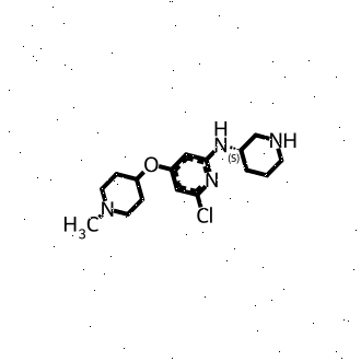 CN1CCC(Oc2cc(Cl)nc(N[C@H]3CCCNC3)c2)CC1